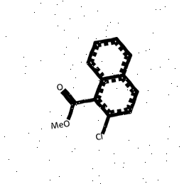 COC(=O)c1c(Cl)ccc2ccccc12